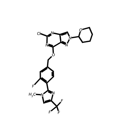 Cn1cc(C(F)(F)F)nc1-c1ccc(COc2nc(Cl)nc3cn(C4CCCCO4)nc23)cc1F